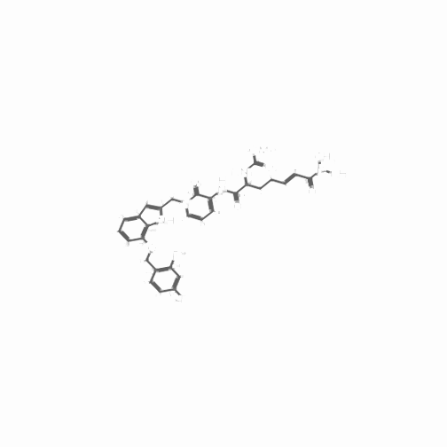 COC(=O)NC(CC/C=C/C(=O)N(C)C)C(=O)Nc1cccn(Cc2cc3cccc(OCc4ccc(F)cc4F)c3[nH]2)c1=O